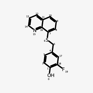 Oc1ccc(CSc2cccc3cccnc23)cc1F